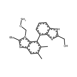 Cc1[c]c2nc(C(C)(C)C)n(CO[SiH3])c2c(-c2cccc3[nH]c(CO)nc23)c1C